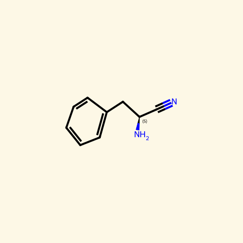 N#C[C@@H](N)Cc1ccccc1